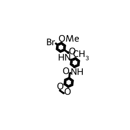 COc1cc(C(=O)Nc2cc(NC(=O)c3ccc4c(c3)OCCO4)ccc2C)ccc1Br